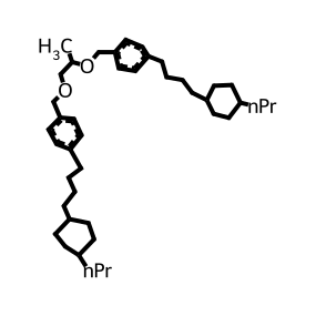 CCCC1CCC(CCCCc2ccc(COCC(C)OCc3ccc(CCCCC4CCC(CCC)CC4)cc3)cc2)CC1